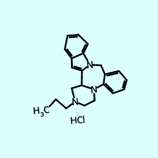 CCCN1CCN2c3ccccc3Cn3c(cc4ccccc43)C2C1.Cl